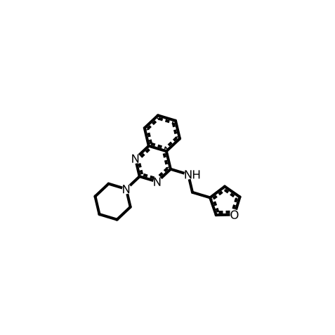 c1ccc2c(NCc3ccoc3)nc(N3CCCCC3)nc2c1